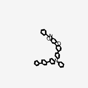 c1ccc(-c2ccc(-c3ccc(N(c4ccccc4)c4ccc(-c5ccc6oc7cc8nc(-c9ccccc9)oc8cc7c6c5)cc4)cc3)cc2)cc1